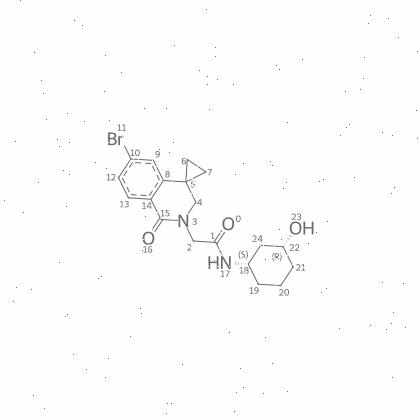 O=C(CN1CC2(CC2)c2cc(Br)ccc2C1=O)N[C@H]1CCC[C@@H](O)C1